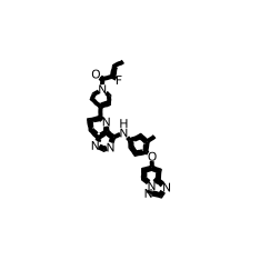 CC=C(F)C(=O)N1CC=C(c2ccc3ncnc(Nc4ccc(Oc5ccn6ncnc6c5)c(C)c4)c3n2)CC1